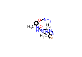 Cc1ccc(OCCN)cc1NC(=O)CN1CC(C)N(c2ncnc3sccc23)C(C)C1